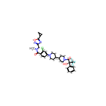 CN(Cc1noc(C2CC2)n1)C(=O)c1ccc(N2CCC(C3CCN(C(=O)[C@](O)(c4ccccc4)C(F)(F)F)CC3)CC2)cc1Cl